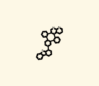 c1ccc2c(c1)-c1ccc(-c3cccc4c3sc3ccccc34)cc1-c1ccccc1-c1c-2cnc2ncccc12